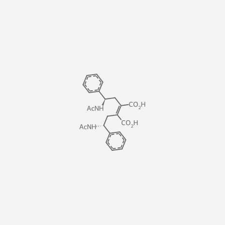 CC(=O)N[C@H](CC(C(=O)O)=C(C[C@@H](NC(C)=O)c1ccccc1)C(=O)O)c1ccccc1